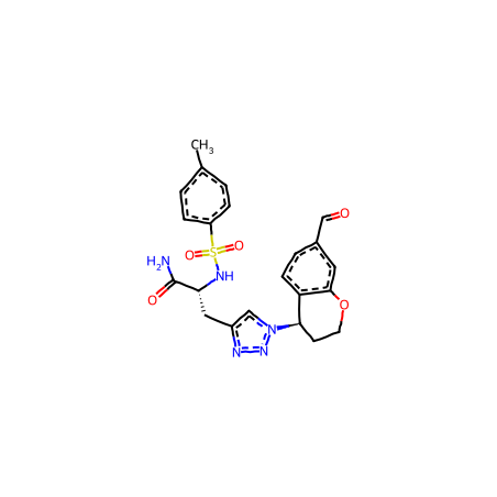 Cc1ccc(S(=O)(=O)N[C@H](Cc2cn([C@@H]3CCOc4cc(C=O)ccc43)nn2)C(N)=O)cc1